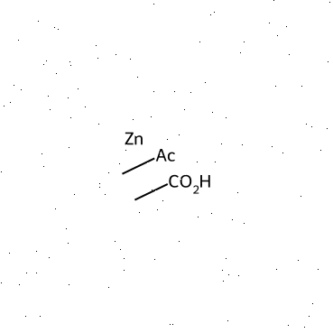 CC(=O)O.CC(C)=O.[Zn]